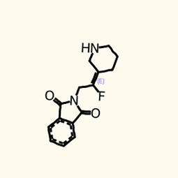 O=C1c2ccccc2C(=O)N1C/C(F)=C1/CCCNC1